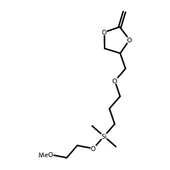 C=C1OCC(COCCC[Si](C)(C)OCCOC)O1